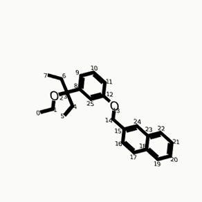 CCOC(CC)(CC)c1cccc(OCc2ccc3ccccc3c2)c1